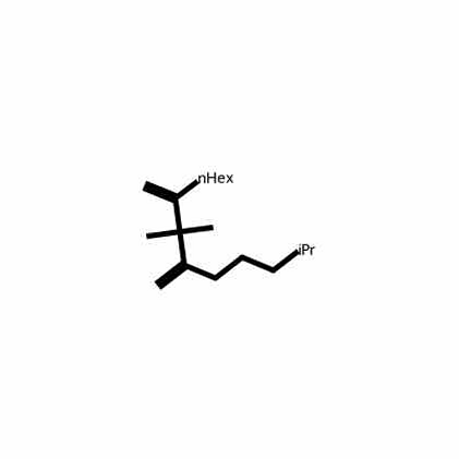 [CH2]C(C)CCCC(=C)C(C)(C)C(=C)CCCCCC